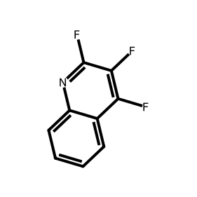 Fc1nc2ccccc2c(F)c1F